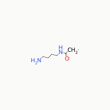 [CH2]C(=O)NCCCCN